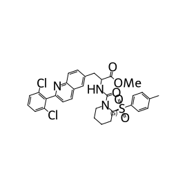 COC(=O)C(Cc1ccc2nc(-c3c(Cl)cccc3Cl)ccc2c1)NC(=O)N1CCCC[C@@H]1S(=O)(=O)c1ccc(C)cc1